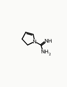 N=C(N)N1C=CCC1